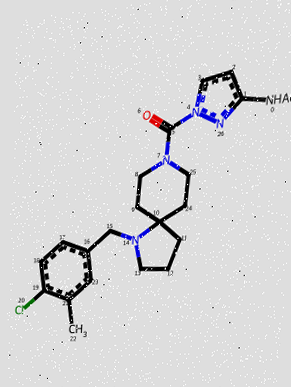 CC(=O)Nc1ccn(C(=O)N2CCC3(CCCN3Cc3ccc(Cl)c(C)c3)CC2)n1